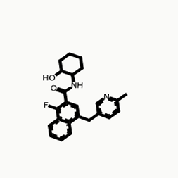 Cc1ccc(Cc2cc(C(=O)NC3CCCCC3O)c(F)c3ccccc23)cn1